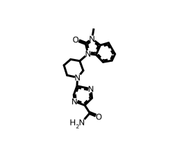 Cn1c(=O)n(C2CCCN(c3cnc(C(N)=O)cn3)C2)c2ccccc21